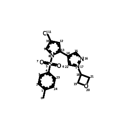 Cc1ccc(S(=O)(=O)n2cc(Cl)cc2-c2cnn(C3COC3)c2)cc1